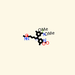 CON=C(F)c1cc(/C(=C\CCCc2nnc(C)o2)c2cc(C)c3oc(=O)n(C)c3c2)cc(C)c1OC